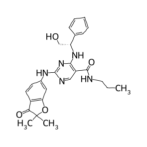 CCCNC(=O)c1cnc(Nc2ccc3c(c2)OC(C)(C)C3=O)nc1N[C@H](CO)c1ccccc1